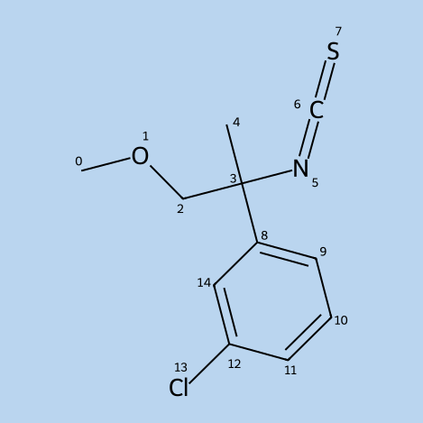 COCC(C)(N=C=S)c1cccc(Cl)c1